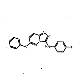 Fc1ccc(Nc2nnc3ccc(Sc4ccccc4)nn23)cc1